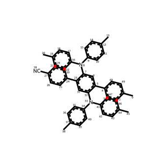 Cc1ccc(-c2cc(N(c3ccc(C)cc3)c3ccc(C)cc3)c(-c3ccc(C#N)cc3)cc2N(c2ccc(C)cc2)c2ccc(C)cc2)cc1